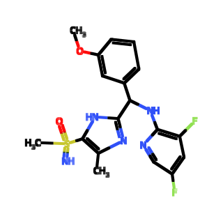 COc1cccc(C(Nc2ncc(F)cc2F)c2nc(C)c(S(C)(=N)=O)[nH]2)c1